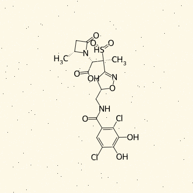 C[C@@H]1CC(=O)N1[C@@H](C(=O)O)[C@](C)(C1=NOC(CNC(=O)c2cc(Cl)c(O)c(O)c2Cl)C1)[SH](=O)=O